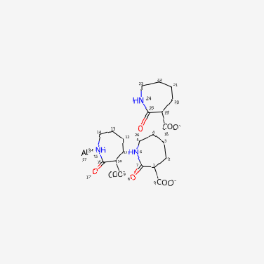 O=C([O-])C1CCCCNC1=O.O=C([O-])C1CCCCNC1=O.O=C([O-])C1CCCCNC1=O.[Al+3]